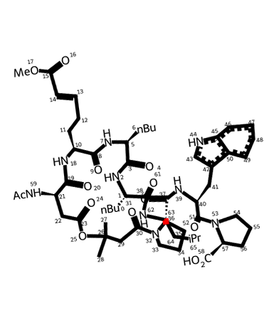 CCCC[C@H](NC(=O)[C@H](CCCC)NC(=O)[C@H](CC/C=C/C(=O)OC)NC(=O)[C@@H](CC(=O)OC(C)(C)CC(=O)N1CCC[C@H]1C(=O)N[C@@H](Cc1c[nH]c2ccccc12)C(=O)N1CCC[C@H]1C(=O)O)NC(C)=O)C(=O)NCCC(C)C